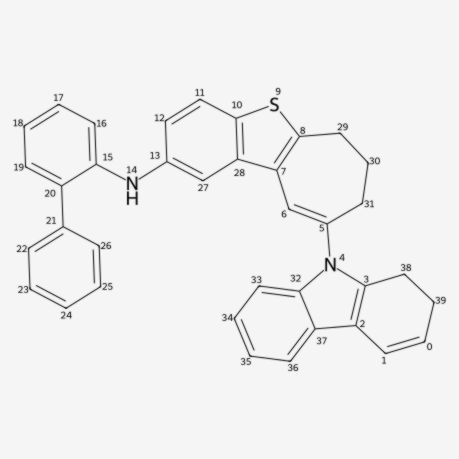 C1=Cc2c(n(C3=Cc4c(sc5ccc(Nc6ccccc6-c6ccccc6)cc45)CCC3)c3ccccc23)CC1